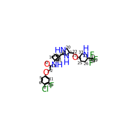 O=C(COc1ccc(Cl)c(F)c1)NC12CC(C1)C(C1NCC(COC3CCC(C(F)(F)F)NC3)N1)C2